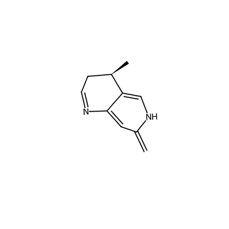 C=C1C=C2N=CC[C@@H](C)C2=CN1